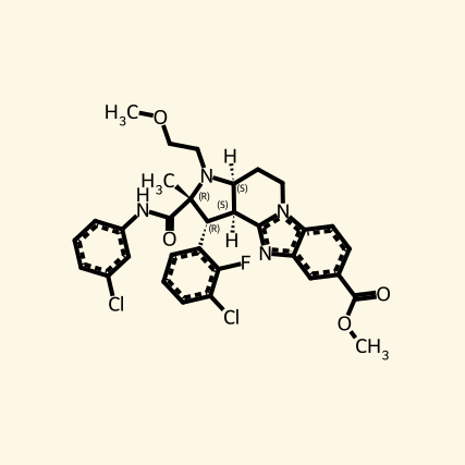 COCCN1[C@H]2CCn3c(nc4cc(C(=O)OC)ccc43)[C@H]2[C@H](c2cccc(Cl)c2F)[C@]1(C)C(=O)Nc1cccc(Cl)c1